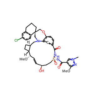 COc1nn(C)cc1C(=O)N[S@@]1(=O)=NC(=O)c2ccc3c(c2)N(C[C@@H]2CC[C@H]2[C@@H](OC)/C=C/[C@H](O)CC1)C[C@@]1(CCCc2cc(Cl)ccc21)CO3